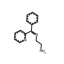 NCCN=C(c1ccccc1)c1ccccn1